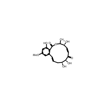 COc1cc(O)c2c(c1)/C=C/C[C@H](O)[C@H](O)C(=O)/C=C\[C@H](O)C(C)OC2=O